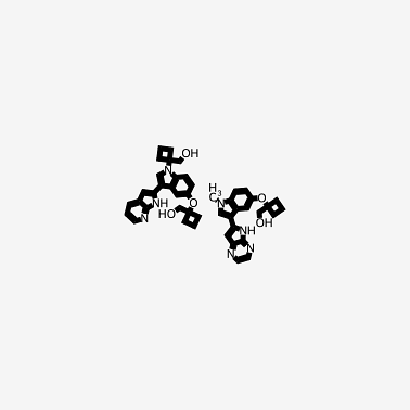 Cn1cc(-c2cc3nccnc3[nH]2)c2cc(OC3(CO)CCC3)ccc21.OCC1(Oc2ccc3c(c2)c(-c2cc4cccnc4[nH]2)cn3C2(CO)CCC2)CCC1